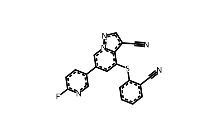 N#Cc1ccccc1Sc1cc(-c2ccc(F)nc2)cn2ncc(C#N)c12